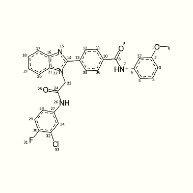 COc1cccc(NC(=O)c2ccc(-c3nc4ccccc4n3CC(=O)Nc3ccc(F)c(Cl)c3)cc2)c1